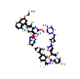 CCc1cccc2cc(OCOC)cc(-c3ncc4c(N5CC6CCC(C5)N6C(=O)OC(C)(C)C)nc(OC[C@H]5CN(CC6CN(c7cc(C(C(=O)N8C[C@H](O)C[C@H]8C(=O)NC(C)c8ccc(-c9scnc9C)cc8)C(C)C)on7)C6)CCN5C)nc4c3F)c12